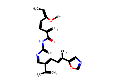 C=C(\N=C/C(=C/C=C(\C)c1cnco1)C(=C)C)NC(=O)C(=C)/C=C\C(=C/C)OC(C)C